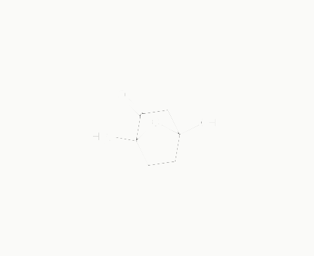 CC12CCC(C)(O1)C(=O)C2